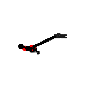 CCCCCCCCCCCCCCCCCCCCCCCCCCCCC(=O)OC(C)c1ccc(OCc2ccccc2)cc1